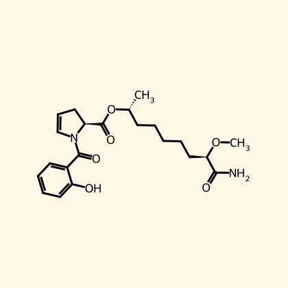 CO[C@H](CCCCC[C@@H](C)OC(=O)[C@@H]1CC=CN1C(=O)c1ccccc1O)C(N)=O